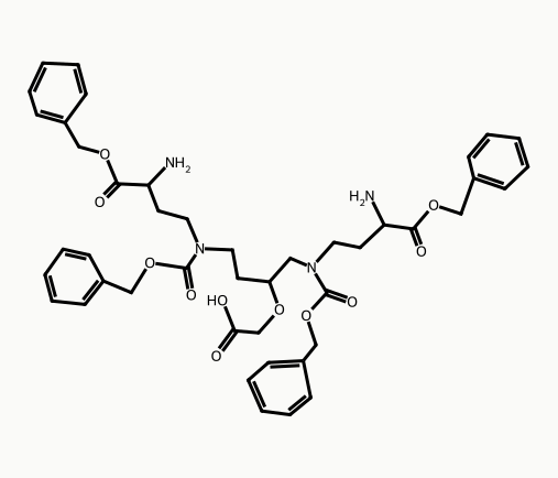 NC(CCN(CCC(CN(CCC(N)C(=O)OCc1ccccc1)C(=O)OCc1ccccc1)OCC(=O)O)C(=O)OCc1ccccc1)C(=O)OCc1ccccc1